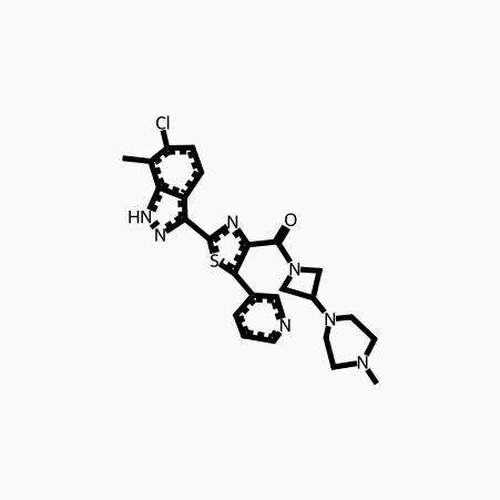 Cc1c(Cl)ccc2c(-c3nc(C(=O)N4CC(N5CCN(C)CC5)C4)c(-c4cccnc4)s3)n[nH]c12